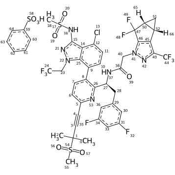 CC(C)(C#Cc1ccc(-c2ccc(Cl)c3c(NS(C)(=O)=O)nn(CC(F)(F)F)c23)c([C@H](Cc2cc(F)cc(F)c2)NC(=O)Cn2nc(C(F)(F)F)c3c2C(F)(F)[C@@H]2C[C@H]32)n1)S(C)(=O)=O.O=S(=O)(O)c1ccccc1